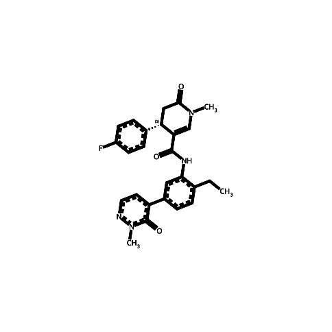 CCc1ccc(-c2ccnn(C)c2=O)cc1NC(=O)C1=CN(C)C(=O)C[C@H]1c1ccc(F)cc1